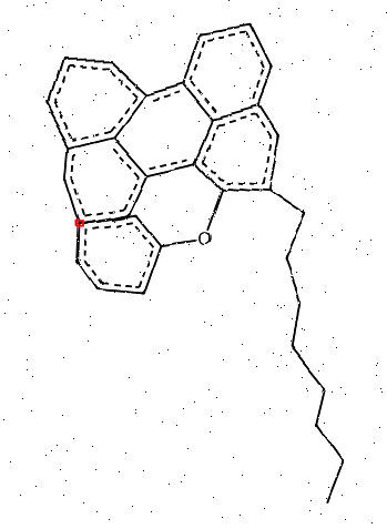 CCCCCCCCc1cc2cccc3c4cccc5cccc(c(c1Oc1ccccc1)c23)c54